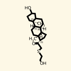 C[C@]12CC[C@H]3[C@@H](CCC4CC(O)CC[C@@]43C)[C@@H]1CC[C@@H]2C(=O)CSCCO